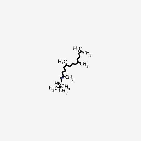 C/C(=C\CNC(C)(C)C)CCCC(C)CCCC(C)CCCC(C)C